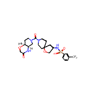 O=C1CO[C@H]2CCN(C(=O)N3CCC4(CC3)C[C@@H](NS(=O)(=O)c3cccc(C(F)(F)F)c3)CO4)C[C@H]2N1